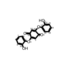 O=C1C=C(Oc2ccccc2O)C(=O)C=C1Oc1ccccc1O